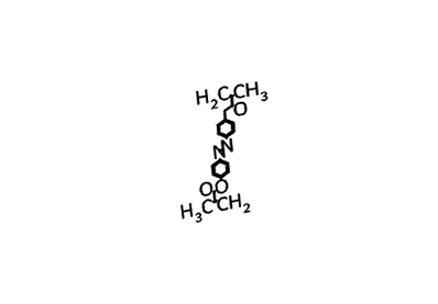 C=C(C)C(=O)Cc1ccc(N=Nc2ccc(OC(=O)C(=C)C)cc2)cc1